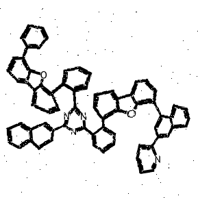 c1ccc(-c2cccc3c2oc2c(-c4ccccc4-c4nc(-c5ccc6ccccc6c5)nc(-c5ccccc5-c5cccc6c5oc5c(-c7cc(-c8ccccn8)cc8ccccc78)cccc56)n4)cccc23)cc1